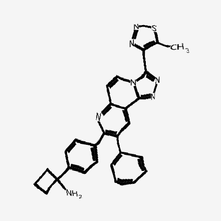 Cc1snnc1-c1nnc2c3cc(-c4ccccc4)c(-c4ccc(C5(N)CCC5)cc4)nc3ccn12